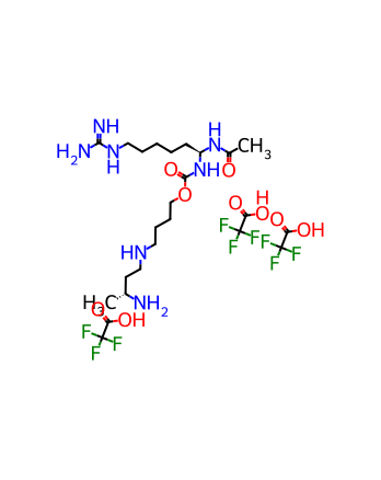 CC(=O)N[C@H](CCCCCNC(=N)N)NC(=O)OCCCCNCC[C@@H](C)N.O=C(O)C(F)(F)F.O=C(O)C(F)(F)F.O=C(O)C(F)(F)F